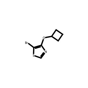 Brc1scnc1OC1CCC1